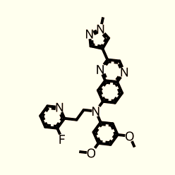 COc1cc(OC)cc(N(CCc2ncccc2F)c2ccc3ncc(-c4cnn(C)c4)nc3c2)c1